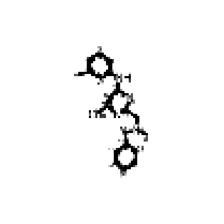 Cc1cccc(Nc2cc(Cl)nc(CN(C)Cc3ccccc3)n2)c1